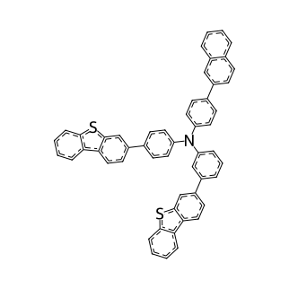 c1cc(-c2ccc3c(c2)sc2ccccc23)cc(N(c2ccc(-c3ccc4ccccc4c3)cc2)c2ccc(-c3ccc4c(c3)sc3ccccc34)cc2)c1